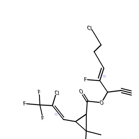 C#CC(OC(=O)C1C(/C=C(\Cl)C(F)(F)F)C1(C)C)/C(F)=C/CCCl